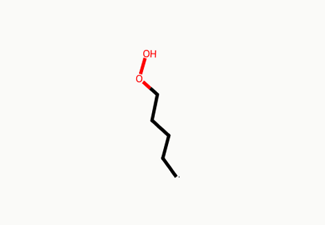 [CH2]CCCCOO